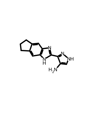 Nc1c[nH]nc1-c1nc2cc3c(cc2[nH]1)CCC3